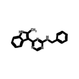 Cc1[nH]c2ccccc2c1-c1ncnc(NCc2ccccc2)n1